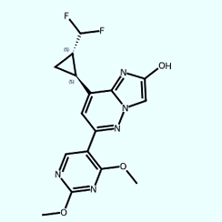 COc1ncc(-c2cc([C@H]3C[C@@H]3C(F)F)c3nc(O)cn3n2)c(OC)n1